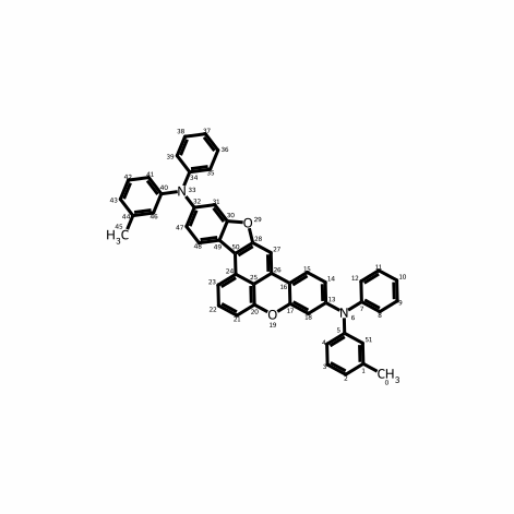 Cc1cccc(N(c2ccccc2)c2ccc3c(c2)Oc2cccc4c2c-3cc2oc3cc(N(c5ccccc5)c5cccc(C)c5)ccc3c24)c1